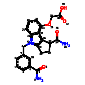 NC(=O)c1cccc(Cn2c3c(c4c(OCC(=O)O)cccc42)C(C(N)=O)CC3)c1